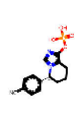 N#Cc1ccc([C@H]2CCCc3c(OP(=O)(O)O)ncn32)cc1